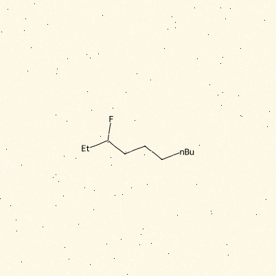 CCCCCCC[C](F)CC